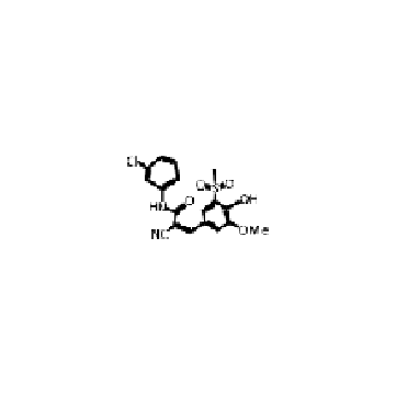 COc1cc(C=C(C#N)C(=O)Nc2cccc(Cl)c2)cc(S(C)(=O)=O)c1O